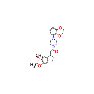 COc1cc2c(cc1OC)C(CC(=O)N1CCN(c3cccc4c3OCCO4)CC1)CC2